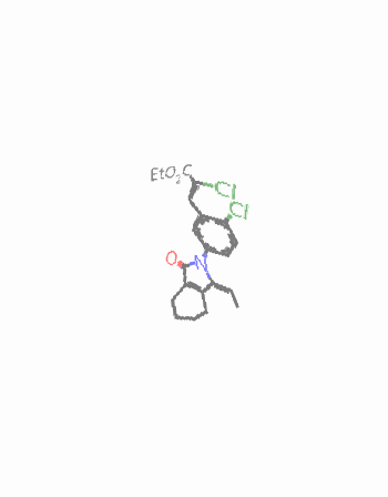 C/C=C1\C2=C(CCCC2)C(=O)N1c1ccc(Cl)c(/C=C(\Cl)C(=O)OCC)c1